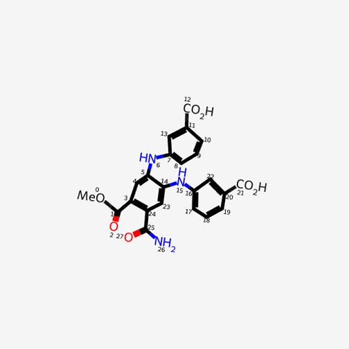 COC(=O)c1cc(Nc2cccc(C(=O)O)c2)c(Nc2cccc(C(=O)O)c2)cc1C(N)=O